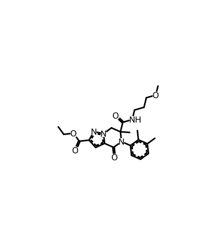 CCOC(=O)c1cc2n(n1)CC(C)(C(=O)NCCCOC)N(c1cccc(C)c1C)C2=O